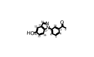 CC(=O)c1cccc(-n2ncc3cc(O)ccc32)c1